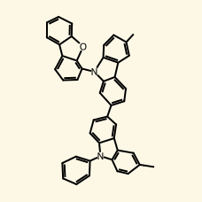 Cc1ccc2c(c1)c1cc(-c3ccc4c5cc(C)ccc5n(-c5cccc6c5oc5ccccc56)c4c3)ccc1n2-c1ccccc1